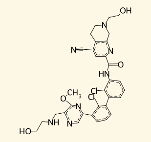 COc1nc(-c2cccc(-c3cccc(NC(=O)c4cc(C#N)c5c(n4)CN(CCO)CC5)c3Cl)c2Cl)cnc1CNCCO